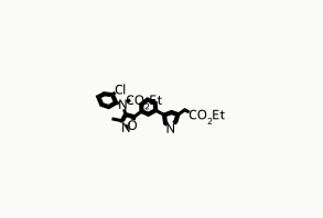 CCOC(=O)Cc1cncc(-c2cccc(-c3onc(C)c3N(C(=O)OCC)c3ccccc3Cl)c2)c1